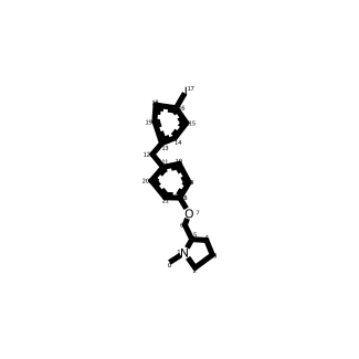 CN1CCCC1COc1ccc(Cc2ccc(I)cc2)cc1